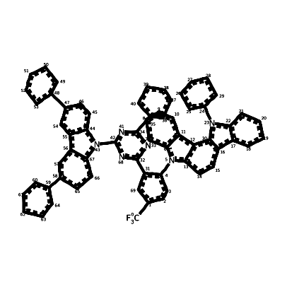 FC(F)(F)c1ccc(-n2c3ccccc3c3c2ccc2c4ccccc4n(-c4ccccc4)c23)c(-c2nc(-c3ccccc3)nc(-n3c4ccc(-c5ccccc5)cc4c4cc(-c5ccccc5)ccc43)n2)c1